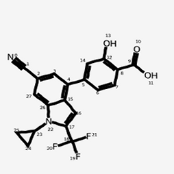 N#Cc1cc(-c2ccc(C(=O)O)c(O)c2)c2cc(C(F)(F)F)n(C3CC3)c2c1